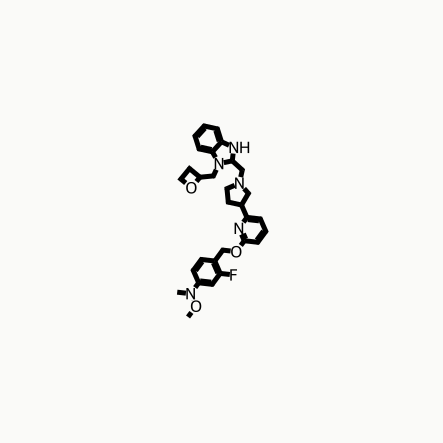 CON(C)c1ccc(COc2cccc(C3CCN(CC4Nc5ccccc5N4CC4CCO4)C3)n2)c(F)c1